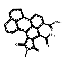 CNC(=O)c1ccc2c3cccc4cccc(c43)c3c4c(=O)n(C)c(=O)c4c(C(N)=O)c1c23